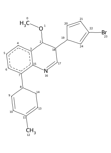 COC1c2cccc(C3C=CC(C)=CC3)c2N=CC1C1C=CC(Br)=C1